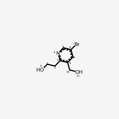 OCCc1ncc(Br)cc1CO